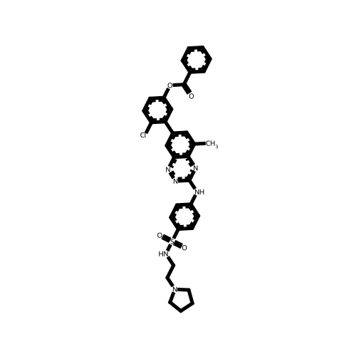 Cc1cc(-c2cc(OC(=O)c3ccccc3)ccc2Cl)cc2nnc(Nc3ccc(S(=O)(=O)NCCN4CCCC4)cc3)nc12